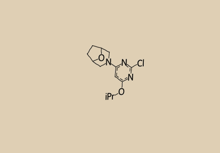 CC(C)Oc1cc(N2CC3CCC(C2)O3)nc(Cl)n1